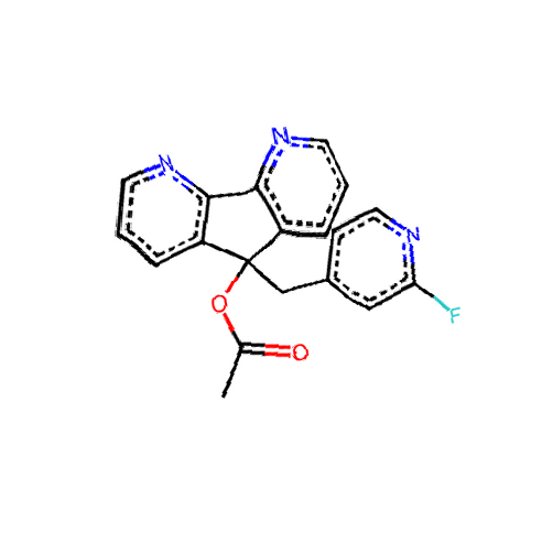 CC(=O)OC1(Cc2ccnc(F)c2)c2cccnc2-c2ncccc21